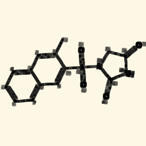 Cc1cc2ccccc2cc1S(=O)(=O)N1CC(=O)NC1=O